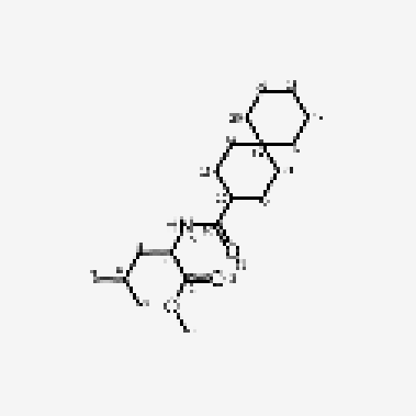 COC(=O)C(CC(C)C)NC(=O)C1CCC2(CCCCC2)CC1